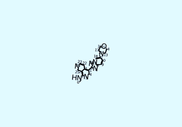 CNc1ncc(-c2nc3ccc(N4CCOCC4)cn3n2)c2ccncc12